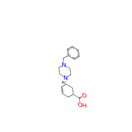 O=C(O)C1CC=C[C@H](N2CCN(Cc3ccccc3)CC2)C1